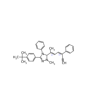 C#C/C(=C\C=C(/C)C1N(C)N=C(c2ccc(C(C)(C)C)cc2)N1c1ccccc1)c1ccccc1